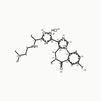 CC(NCCN(C)C)c1nc(-c2ncn3c2CN(C)C(=O)c2cc(F)ccc2-3)no1.Cl